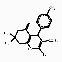 CCOC(=O)C1=C(CC)NC2=C(C(=O)CC(C)(C)C2)C1c1ccc(C)cc1